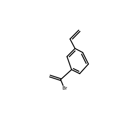 C=Cc1cccc(C(=C)Br)c1